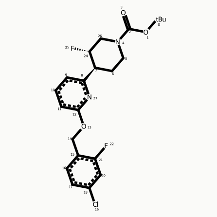 CC(C)(C)OC(=O)N1CC[C@@H](c2cccc(OCc3ccc(Cl)cc3F)n2)[C@H](F)C1